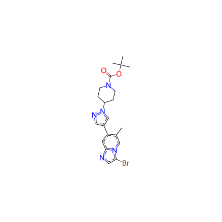 Cc1cn2c(Br)cnc2cc1-c1cnn(C2CCN(C(=O)OC(C)(C)C)CC2)c1